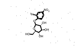 [2H]c1cc([N+](=O)[O-])ccc1OC1O[C@H](CO)[C@@H](O)[C@H](O)[C@H]1O